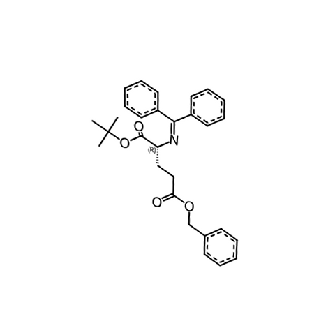 CC(C)(C)OC(=O)[C@@H](CCC(=O)OCc1ccccc1)N=C(c1ccccc1)c1ccccc1